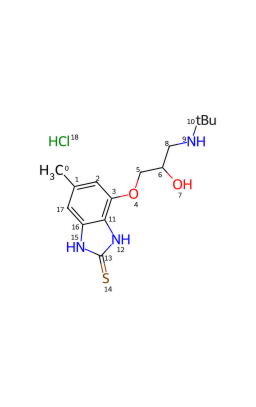 Cc1cc(OCC(O)CNC(C)(C)C)c2[nH]c(=S)[nH]c2c1.Cl